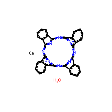 O.[Ce].c1ccc2c(c1)-c1nc-2nc2[nH]c(nc3nc(nc4[nH]c(n1)c1ccccc41)-c1ccccc1-3)c1ccccc21